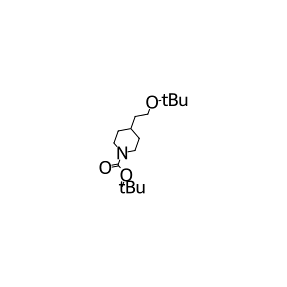 CC(C)(C)OCCC1CCN(C(=O)OC(C)(C)C)CC1